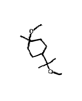 COC1(C)CCC(C(C)(C)OC)CC1